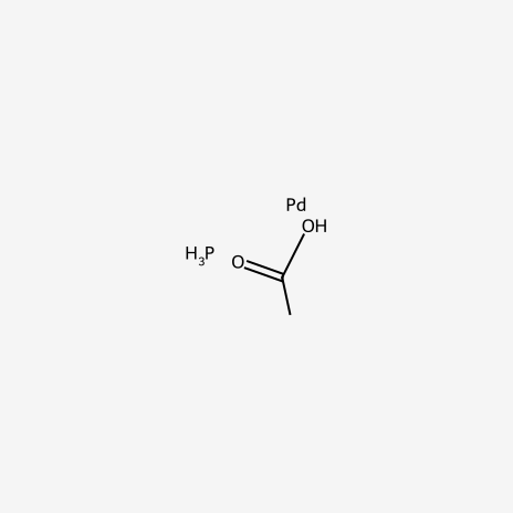 CC(=O)O.P.[Pd]